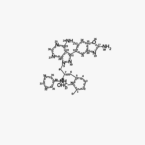 Cc1cccc(/C=C(/Cn2nc(-c3ccc4oc(N)nc4c3)c3c(N)ncnc32)Nc2ccccc2)c1C=O